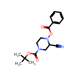 CC(C)(C)OC(=O)N1CCN(OC(=O)c2ccccc2)C(C#N)C1